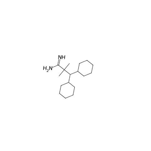 CC(C)(C(=N)N)C(C1CCCCC1)C1CCCCC1